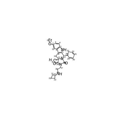 CCOc1ccc2[nH]c3c(c2c1)CC1(C)C(=O)N(CCNC2CCC2)C(=O)N1[C@@H]3C1C=CC=CC1